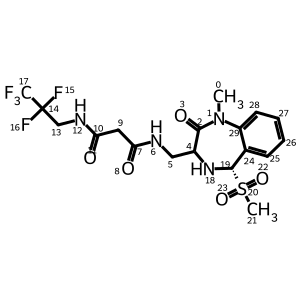 CN1C(=O)C(CNC(=O)CC(=O)NCC(F)(F)C(F)(F)F)N[C@@H](S(C)(=O)=O)c2ccccc21